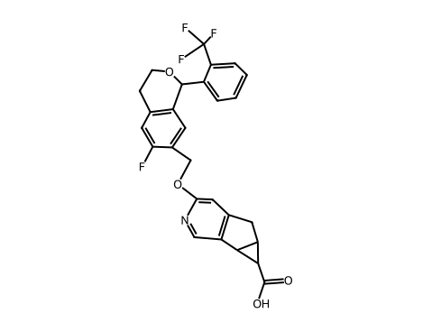 O=C(O)C1C2Cc3cc(OCc4cc5c(cc4F)CCOC5c4ccccc4C(F)(F)F)ncc3C21